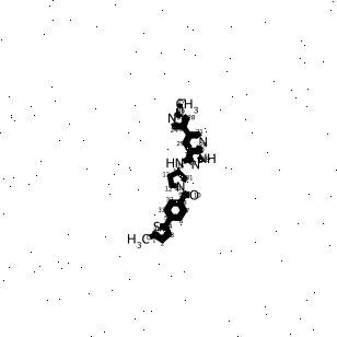 Cc1ccc(-c2ccc(C(=O)N3CC[C@@H](Nc4n[nH]c5ncc(-c6cnn(C)c6)cc45)C3)cc2)s1